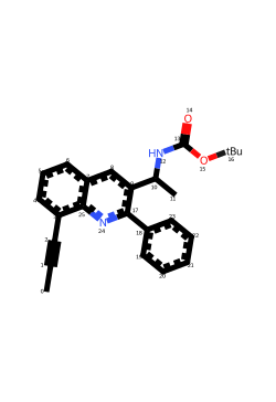 CC#Cc1cccc2cc(C(C)NC(=O)OC(C)(C)C)c(-c3ccccc3)nc12